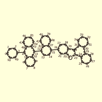 c1ccc(-c2c3ccccc3c(-c3ccc(-c4ccc5c(c4)oc4c6ccccc6c6ccccc6c54)c4ccccc34)c3ccccc23)cc1